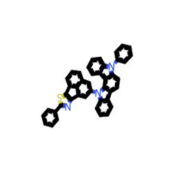 c1ccc(-c2nc3c(s2)-c2cccc4cc(-n5c6ccccc6c6ccc7c(c8ccccc8n7-c7ccccc7)c65)cc-3c24)cc1